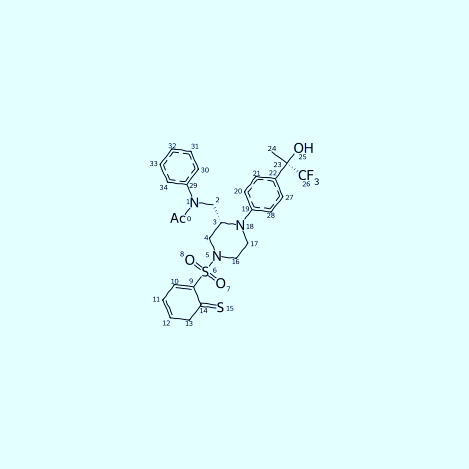 CC(=O)N(C[C@H]1CN(S(=O)(=O)C2=CC=CCC2=S)CCN1c1ccc([C@@](C)(O)C(F)(F)F)cc1)c1ccccc1